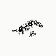 Cn1c(-c2ccc(OCC#N)c(F)c2F)cnc1C(=O)Nc1ccc(C(=O)N2CCN(C(=O)[C@H]3CCCNC3)CC2)c(Cl)c1.O=C(O)C(F)(F)F